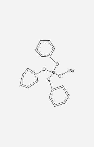 CCC(C)O[Si](Oc1ccccc1)(Oc1ccccc1)Oc1ccccc1